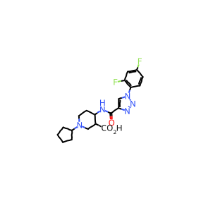 O=C(NC1CCN(C2CCCC2)CC1C(=O)O)c1cn(-c2ccc(F)cc2F)nn1